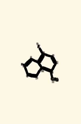 O=Cc1ccc(F)c2cnccc12